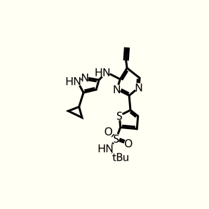 C#Cc1cnc(-c2ccc(S(=O)(=O)NC(C)(C)C)s2)nc1Nc1cc(C2CC2)[nH]n1